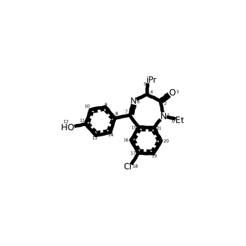 CCN1C(=O)C(C(C)C)N=C(c2ccc(O)cc2)c2cc(Cl)ccc21